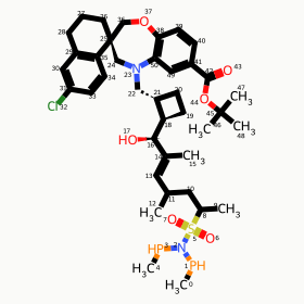 CPN(PC)S(=O)(=O)C(C)CC(C)/C=C(\C)[C@@H](O)[C@@H]1CC[C@H]1CN1C[C@@]2(CCCc3cc(Cl)ccc32)COc2ccc(C(=O)OC(C)(C)C)cc21